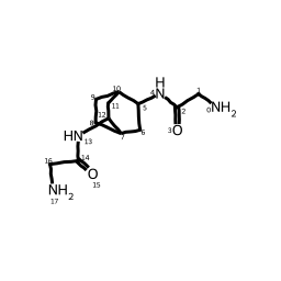 NCC(=O)NC1CC2CCC1CC2NC(=O)CN